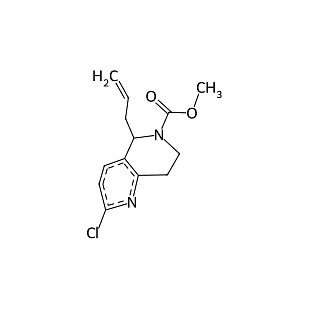 C=CCC1c2ccc(Cl)nc2CCN1C(=O)OC